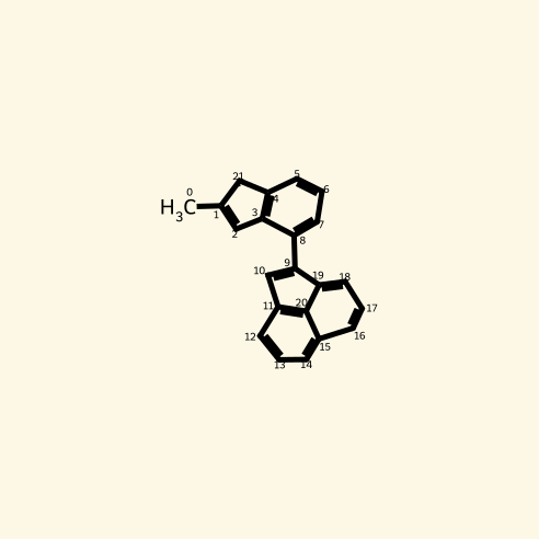 CC1=Cc2c(cccc2C2=Cc3cccc4cccc2c34)[CH]1